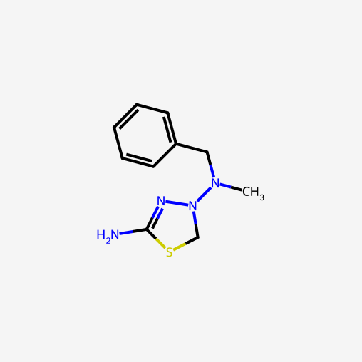 CN(Cc1ccccc1)N1CSC(N)=N1